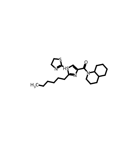 CCCCCCC1=NC(C(=O)N2CCCC3CCCCC32)=C[SH]1C1=NCCS1